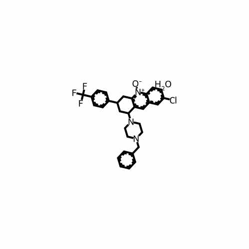 O.[O-][n+]1c2c(cc3cc(Cl)ccc31)C(N1CCN(Cc3ccccc3)CC1)CC(c1ccc(C(F)(F)F)cc1)C2